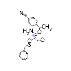 CC(O/C(N)=C(\C=O)OSCc1ccccc1)c1ccc(C#N)cc1